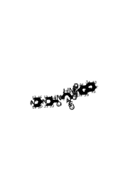 O=C=NC(=O)C(CCNC(=O)C1CCN(c2ccncc2)CC1)NS(=O)(=O)c1ccc2ccccc2c1